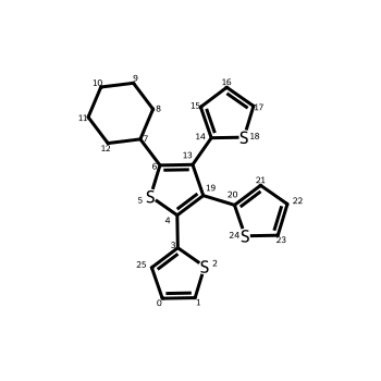 c1csc(-c2sc(C3CCCCC3)c(-c3cccs3)c2-c2cccs2)c1